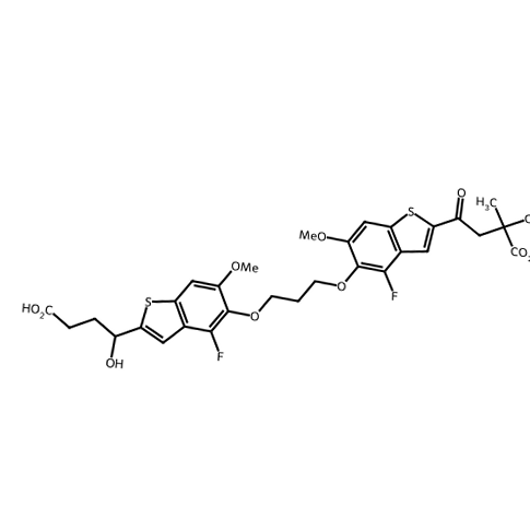 COc1cc2sc(C(=O)CC(C)(C)C(=O)O)cc2c(F)c1OCCCOc1c(OC)cc2sc(C(O)CCC(=O)O)cc2c1F